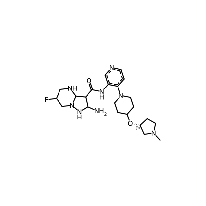 CN1CC[C@@H](OC2CCN(c3ccncc3NC(=O)C3C(N)NN4CC(F)CNC34)CC2)C1